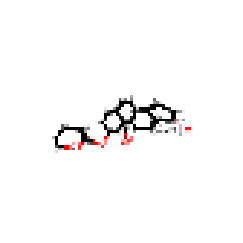 C[C@]12CCC3C(CC=C4CCC(OC5CCCCO5)C[C@@]43CO)C1CC[C@@H]2O